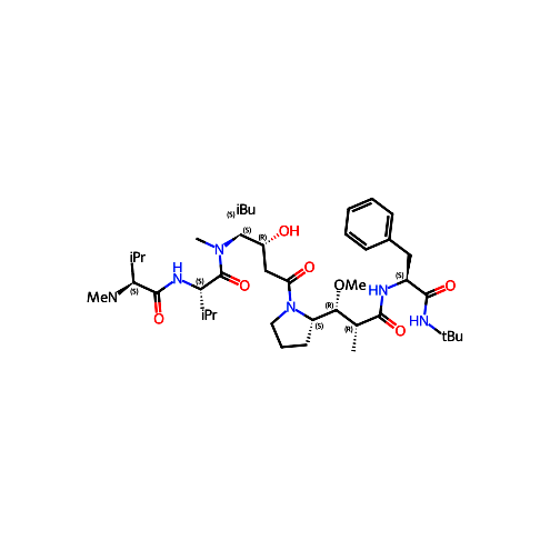 CC[C@H](C)[C@@H]([C@H](O)CC(=O)N1CCC[C@H]1[C@H](OC)[C@@H](C)C(=O)N[C@@H](Cc1ccccc1)C(=O)NC(C)(C)C)N(C)C(=O)[C@@H](NC(=O)[C@@H](NC)C(C)C)C(C)C